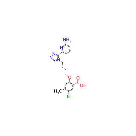 Cc1cc(OCCCCn2cnnc2-c2cccc(N)n2)c(C(=O)O)cc1Br